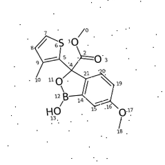 COC(=O)C1(c2sccc2C)OB(O)c2cc(OC)ccc21